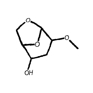 COC1CC(O)C2COC1O2